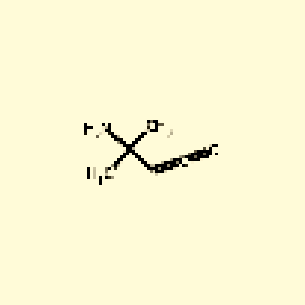 CC(C)(N)C=C=O